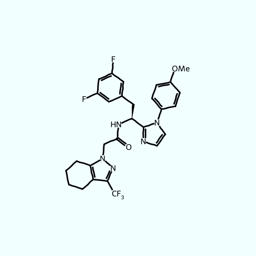 COc1ccc(-n2ccnc2[C@H](Cc2cc(F)cc(F)c2)NC(=O)Cn2nc(C(F)(F)F)c3c2CCCC3)cc1